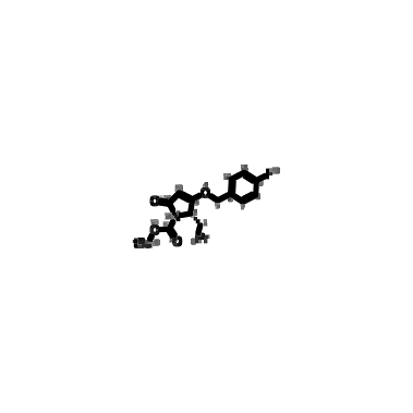 CC(C)C[C@H]1C(OCc2ccc(F)cc2)=CC(=O)N1C(=O)OC(C)(C)C